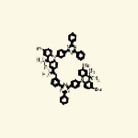 CC(C)c1ccc2c(c1)C(C)(C)c1cc(C(C)Cc3cccc(-c4nc(-c5ccccc5)nc(-c5ccc(N6c7ccc(C(C)(C)C)cc7C(C)(C)c7cc(C(C)(C)C)ccc76)cc5)n4)c3)ccc1N2c1ccc(-c2nc(-c3ccccc3)nc(-c3ccccc3)n2)cc1